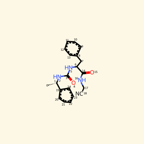 C[C@H](NC(=O)NC(Cc1ccccc1)C(=O)NCC#N)c1ccccc1